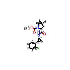 CC(C)(C)OC(=O)N1[C@@H]2C[C@@H]2C[C@H]1C(=O)N[C@H]1C[C@@H]1c1ccccc1F